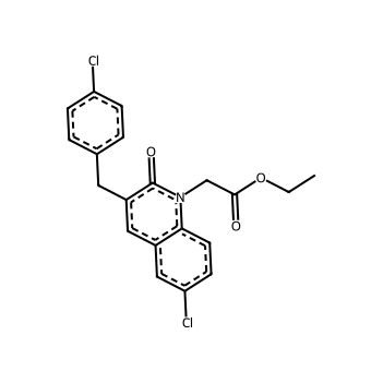 CCOC(=O)Cn1c(=O)c(Cc2ccc(Cl)cc2)cc2cc(Cl)ccc21